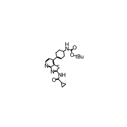 CC(C)(C)OC(=O)NC1CC=C(c2ccnc3nc(NC(=O)C4CC4)sc23)CC1